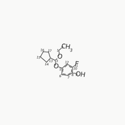 CCOC(Oc1ccc(O)c(F)c1)C1CCCC1